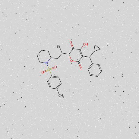 CCC(CC1CCCCN1S(=O)(=O)c1ccc(C)cc1)C1OC(=O)C(C(c2ccccc2)C2CC2)=C(O)C1=O